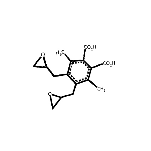 Cc1c(CC2CO2)c(CC2CO2)c(C)c(C(=O)O)c1C(=O)O